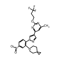 Cc1cc(-c2cnn(-c3ccc([N+](=O)[O-])cc3N3CCC4(CC3)CC4)c2)nc(OCCC(F)(F)F)n1